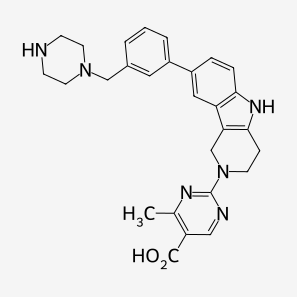 Cc1nc(N2CCc3[nH]c4ccc(-c5cccc(CN6CCNCC6)c5)cc4c3C2)ncc1C(=O)O